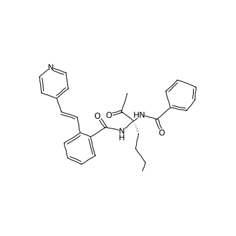 CCCC[C@](NC(=O)c1ccccc1)(NC(=O)c1ccccc1C=Cc1ccncc1)C(C)=O